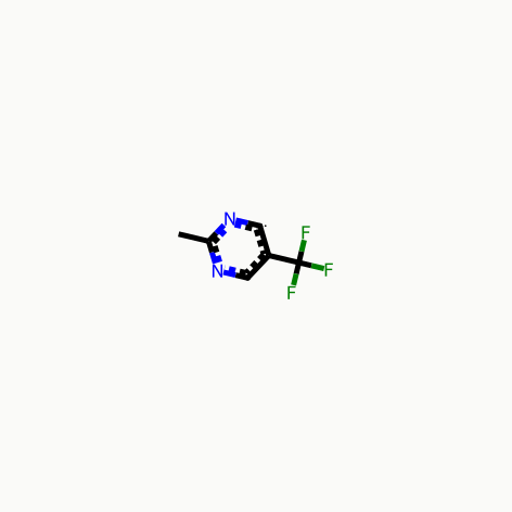 Cc1n[c]c(C(F)(F)F)cn1